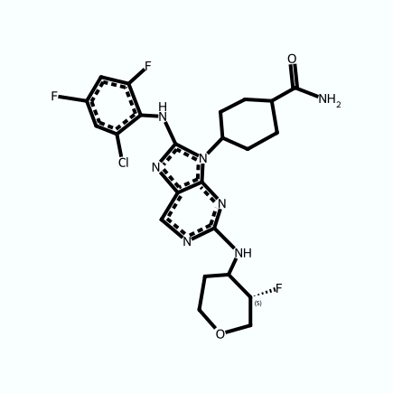 NC(=O)C1CCC(n2c(Nc3c(F)cc(F)cc3Cl)nc3cnc(NC4CCOC[C@H]4F)nc32)CC1